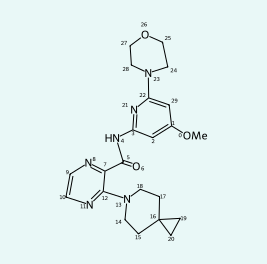 COc1cc(NC(=O)c2nccnc2N2CCC3(CC2)CC3)nc(N2CCOCC2)c1